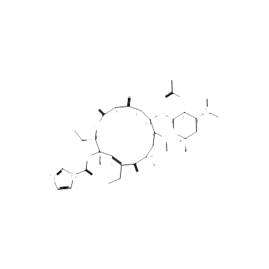 CC/C1=C\[C@](C)(OC(=O)n2ccnc2)[C@@H](CC)OC(=O)[C@H](C)C(=O)[C@H](C)[C@@H](O[C@@H]2O[C@H](C)C[C@H](N(C)C)[C@H]2OC(C)=O)[C@@](C)(OC)C[C@@H](C)C1=O